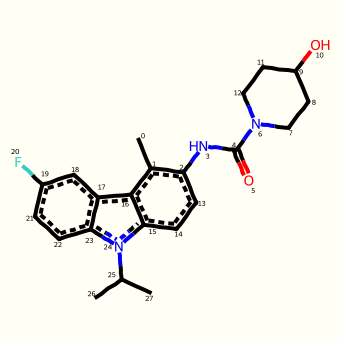 Cc1c(NC(=O)N2CCC(O)CC2)ccc2c1c1cc(F)ccc1n2C(C)C